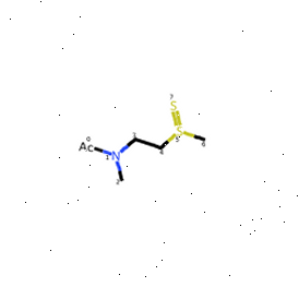 CC(=O)N(C)CCS(C)=S